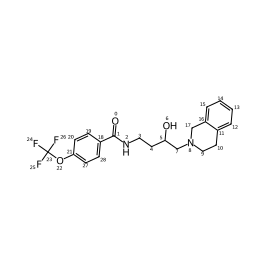 O=C(NCCC(O)CN1CCc2ccccc2C1)c1ccc(OC(F)(F)F)cc1